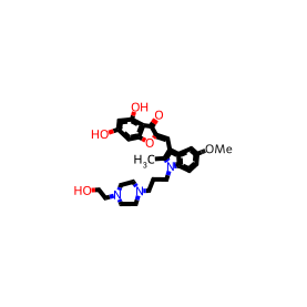 COc1ccc2c(c1)c(/C=C1\Oc3cc(O)cc(O)c3C1=O)c(C)n2CCCN1CCN(CCO)CC1